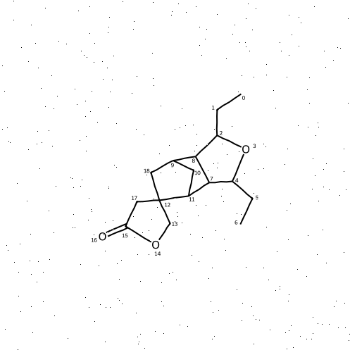 CCC1OC(CC)C2C1C1CC2C2(COC(=O)C2)C1